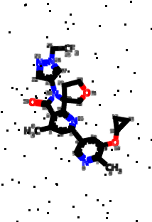 Cc1cc(-c2cnc(C)c(OC3CC3)c2)nc2c1C(=O)N(c1cnn(CC(F)(F)F)c1)C21CCOC1